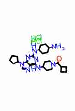 Cl.Cl.N[C@H]1CC[C@H](Nc2nc(NC3CCN(C(=O)C4CCC4)CC3)c3ncn(C4CCCC4)c3n2)CC1